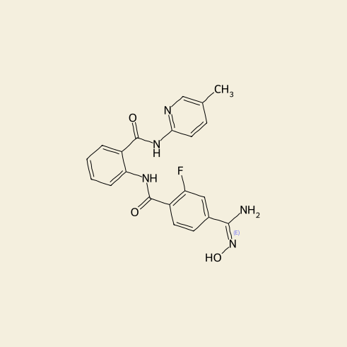 Cc1ccc(NC(=O)c2ccccc2NC(=O)c2ccc(/C(N)=N\O)cc2F)nc1